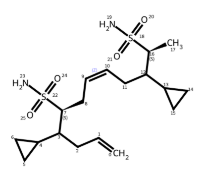 C=CCC(C1CC1)[C@H](C/C=C\CC(C1CC1)[C@H](C)S(N)(=O)=O)S(N)(=O)=O